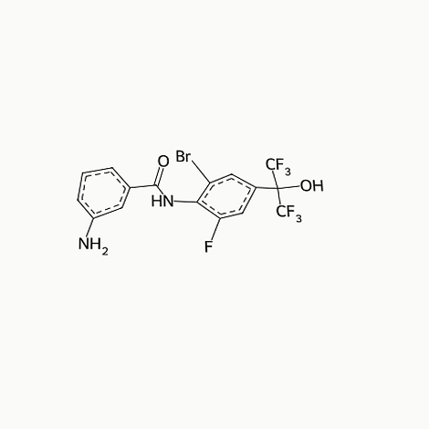 Nc1cccc(C(=O)Nc2c(F)cc(C(O)(C(F)(F)F)C(F)(F)F)cc2Br)c1